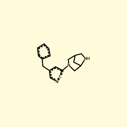 c1ccc(Cc2cncc(N3CC4CNC(C4)C3)c2)cc1